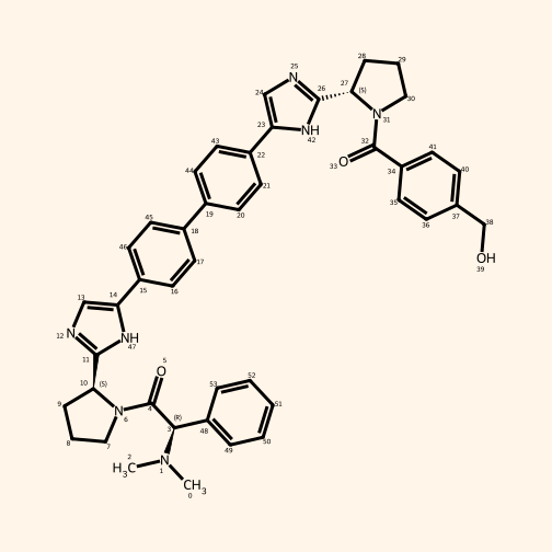 CN(C)[C@@H](C(=O)N1CCC[C@H]1c1ncc(-c2ccc(-c3ccc(-c4cnc([C@@H]5CCCN5C(=O)c5ccc(CO)cc5)[nH]4)cc3)cc2)[nH]1)c1ccccc1